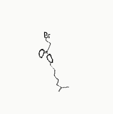 CC(C)CCCCCOC(=O)CCBr